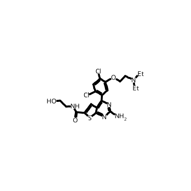 CCN(CC)CCOc1cc(-c2nc(N)nc3sc(C(=O)NCCO)cc23)c(Cl)cc1Cl